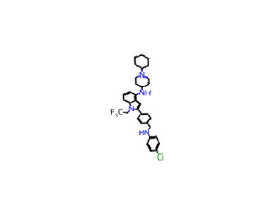 FC(F)(F)Cn1c(-c2ccc(CNc3ccc(Cl)cc3)cc2)cc2c(NC3CCN(C4CCCCC4)CC3)cccc21